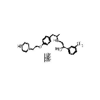 Br.Br.Br.CC(Cc1ccc(OCCN2CCNCC2)cc1)NCC(O)c1cccc(C(F)(F)F)c1